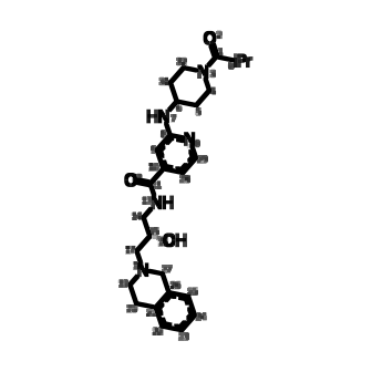 CC(C)C(=O)N1CCC(Nc2cc(C(=O)NC[C@H](O)CN3CCc4ccccc4C3)ccn2)CC1